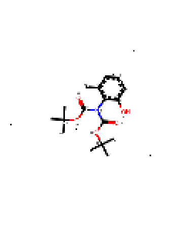 Cc1cccc(O)c1N(C(=O)OC(C)(C)C)C(=O)OC(C)(C)C